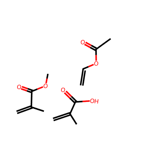 C=C(C)C(=O)O.C=C(C)C(=O)OC.C=COC(C)=O